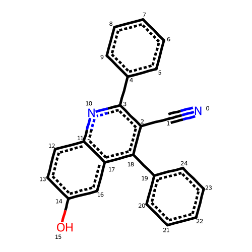 N#Cc1c(-c2ccccc2)nc2ccc(O)cc2c1-c1ccccc1